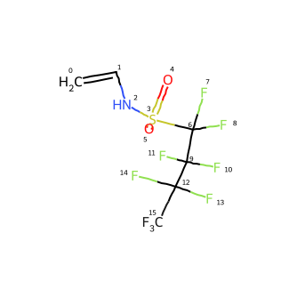 C=CNS(=O)(=O)C(F)(F)C(F)(F)C(F)(F)C(F)(F)F